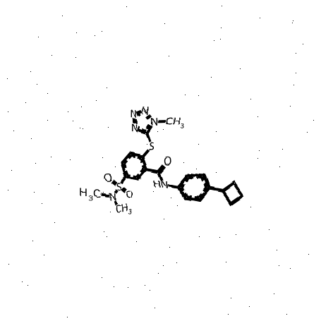 CN(C)S(=O)(=O)c1ccc(Sc2nnnn2C)c(C(=O)Nc2ccc(C3CCC3)cc2)c1